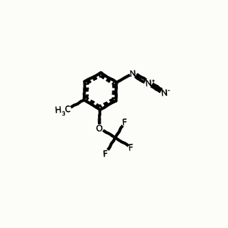 Cc1ccc(N=[N+]=[N-])cc1OC(F)(F)F